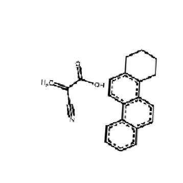 C=C(C#N)C(=O)O.c1ccc2c(c1)ccc1c3c(ccc12)CCCC3